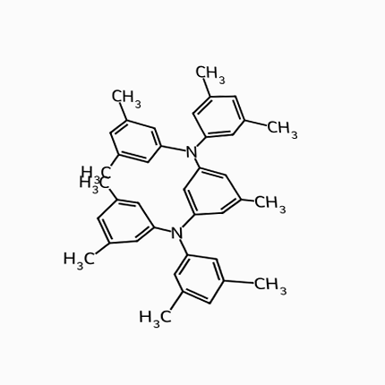 Cc1cc(C)cc(N(c2cc(C)cc(C)c2)c2cc(C)cc(N(c3cc(C)cc(C)c3)c3cc(C)cc(C)c3)c2)c1